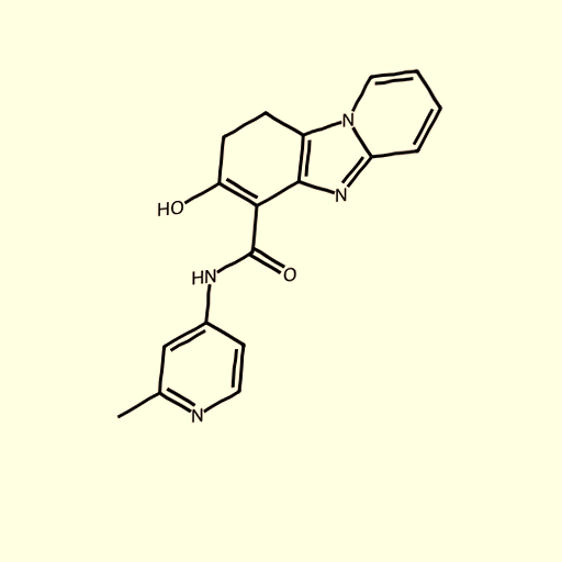 Cc1cc(NC(=O)C2=C(O)CCc3c2nc2ccccn32)ccn1